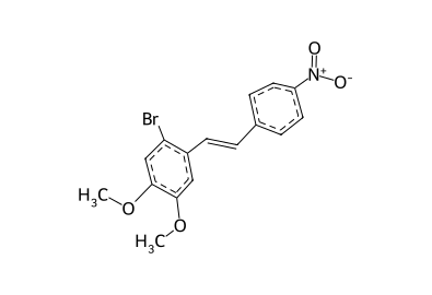 COc1cc(Br)c(/C=C/c2ccc([N+](=O)[O-])cc2)cc1OC